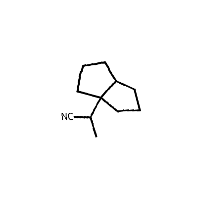 CC(C#N)C12CCCC1CCC2